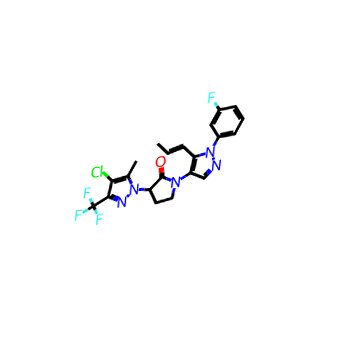 C/C=C/c1c(N2CCC(n3nc(C(F)(F)F)c(Cl)c3C)C2=O)cnn1-c1cccc(F)c1